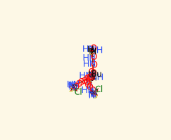 Cc1ncsc1-c1ccc([C@H](C)NC(=O)[C@@H]2C[C@@H](OC(=O)CCCCCCC(=O)NCCCCCNC(=O)CCCC[C@@H]3SC[C@@H]4NC(=O)N[C@@H]43)CN2C(=O)C(NC(=O)COCC(C)(COCCOCCOCCNC(=O)C[C@@H]2N=C(c3ccc(Cl)cc3)c3c(sc(C)c3C)-n3c(C)nnc32)COCCOCCOCCNC(=O)C[C@@H]2N=C(c3ccc(Cl)cc3)c3c(sc(C)c3C)-n3c(C)nnc32)C(C)(C)C)cc1